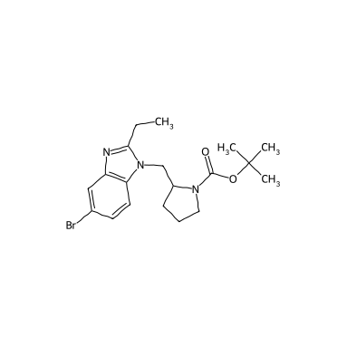 CCc1nc2cc(Br)ccc2n1CC1CCCN1C(=O)OC(C)(C)C